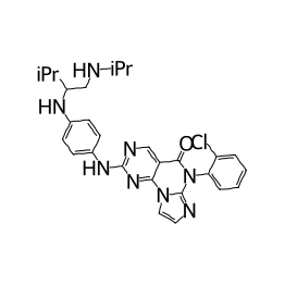 CC(C)NCC(Nc1ccc(Nc2ncc3c(=O)n(-c4ccccc4Cl)c4nccn4c3n2)cc1)C(C)C